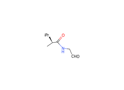 CC(C)[C@H](C)C(=O)NCC=O